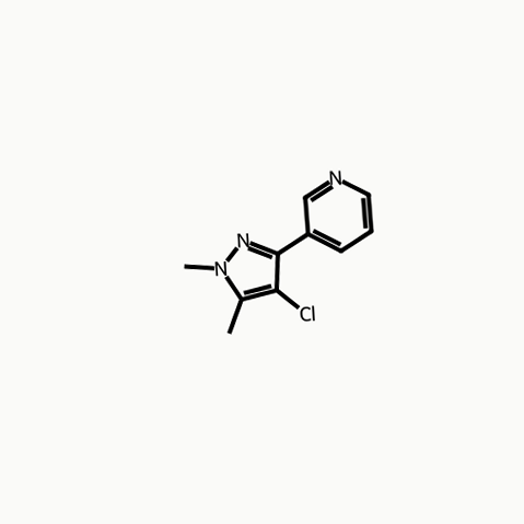 Cc1c(Cl)c(-c2cccnc2)nn1C